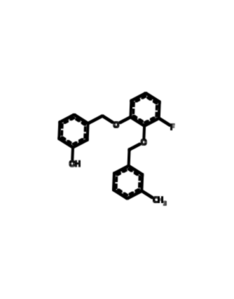 Cc1cccc(COc2c(F)cccc2OCc2cccc(O)c2)c1